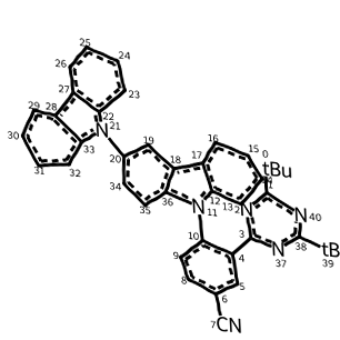 CC(C)(C)c1nc(-c2cc(C#N)ccc2-n2c3ccccc3c3cc(-n4c5ccccc5c5ccccc54)ccc32)nc(C(C)(C)C)n1